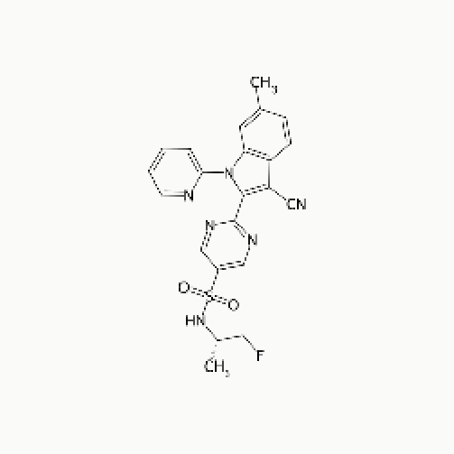 Cc1ccc2c(C#N)c(-c3ncc(S(=O)(=O)N[C@@H](C)CF)cn3)n(-c3ccccn3)c2c1